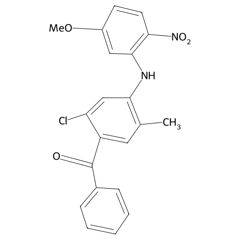 COc1ccc([N+](=O)[O-])c(Nc2cc(Cl)c(C(=O)c3ccccc3)cc2C)c1